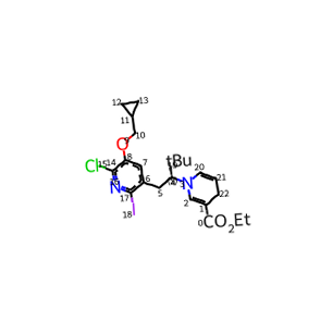 CCOC(=O)C1=CN([C@@H](Cc2cc(OCC3CC3)c(Cl)nc2I)C(C)(C)C)C=CC1